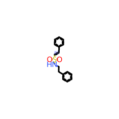 O=S(=O)(/C=C/c1ccccc1)NCCc1ccccc1